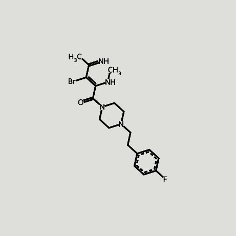 CN/C(C(=O)N1CCN(CCc2ccc(F)cc2)CC1)=C(/Br)C(C)=N